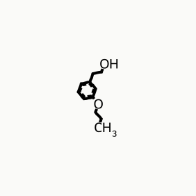 CCCOc1cccc(CCO)c1